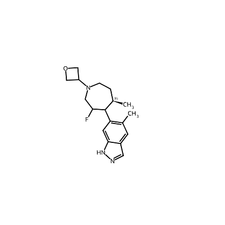 Cc1cc2cn[nH]c2cc1C1C(F)CN(C2COC2)CC[C@H]1C